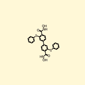 O=C(NO)c1ccc(-c2ccc(C(=O)NO)c(Sc3ccccc3)c2)cc1Sc1ccccc1